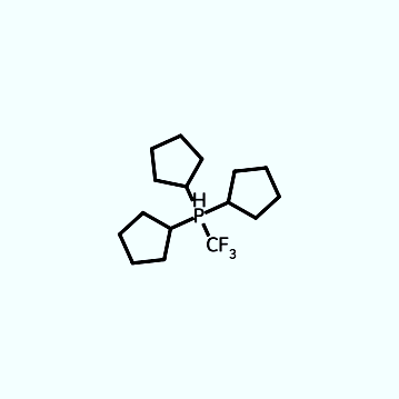 FC(F)(F)[PH](C1CCCC1)(C1CCCC1)C1CCCC1